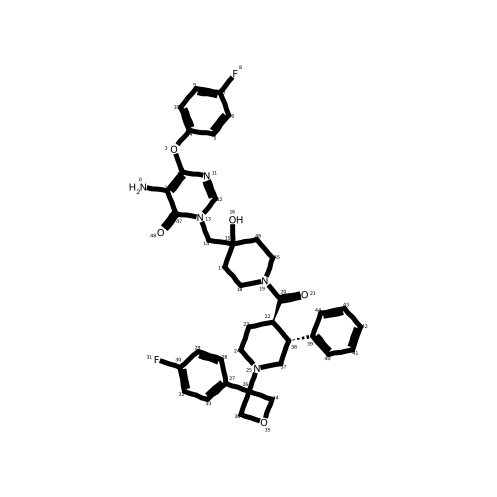 Nc1c(Oc2ccc(F)cc2)ncn(CC2(O)CCN(C(=O)[C@@H]3CCN(C4(c5ccc(F)cc5)COC4)C[C@H]3c3ccccc3)CC2)c1=O